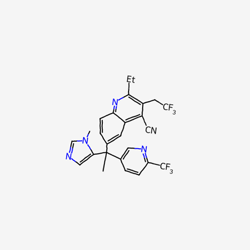 CCc1nc2ccc(C(C)(c3ccc(C(F)(F)F)nc3)c3cncn3C)cc2c(C#N)c1CC(F)(F)F